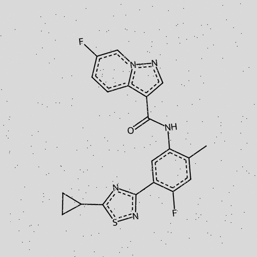 Cc1cc(F)c(-c2nsc(C3CC3)n2)cc1NC(=O)c1cnn2cc(F)ccc12